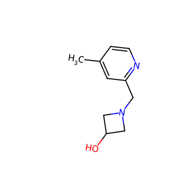 Cc1ccnc(CN2CC(O)C2)c1